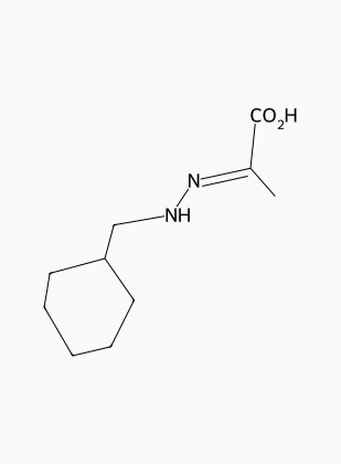 CC(=NNCC1CCCCC1)C(=O)O